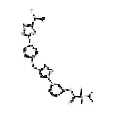 CN(C)C(C)(C)C(=O)Nc1cccc(-c2cn(Cc3ccc(-c4nnc(C(F)F)o4)cc3)nn2)c1